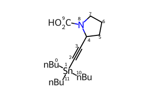 CCC[CH2][Sn]([C]#CC1CCCN1C(=O)O)([CH2]CCC)[CH2]CCC